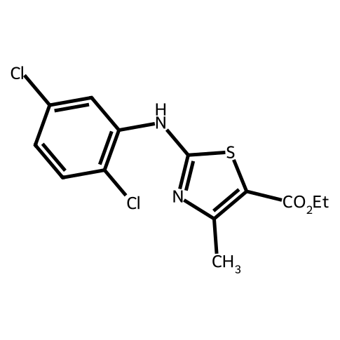 CCOC(=O)c1sc(Nc2cc(Cl)ccc2Cl)nc1C